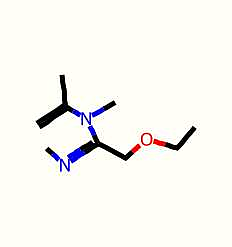 C=C(C)N(C)/C(COCC)=N\C